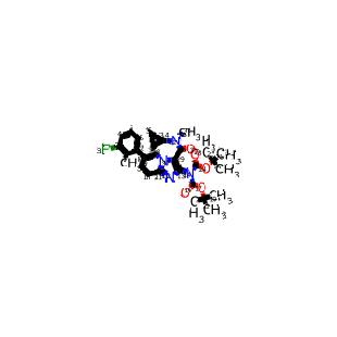 Cc1c(F)cccc1-c1ccc2nc(N(C(=O)OC(C)(C)C)C(=O)OC(C)(C)C)c(C(=O)N(C)C3CC3)n2c1